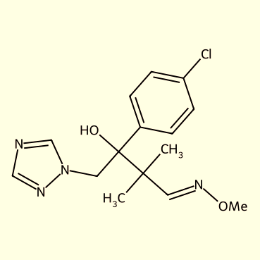 CON=CC(C)(C)C(O)(Cn1cncn1)c1ccc(Cl)cc1